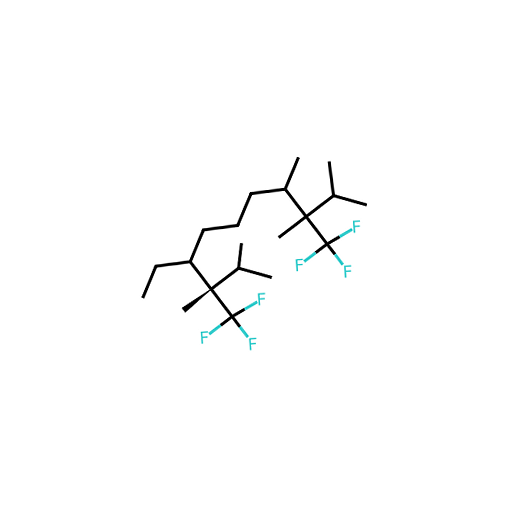 CCC(CCCC(C)C(C)(C(C)C)C(F)(F)F)[C@](C)(C(C)C)C(F)(F)F